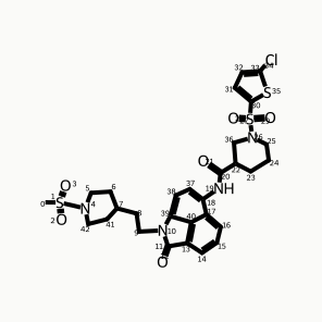 CS(=O)(=O)N1CCC(CCN2C(=O)c3cccc4c(NC(=O)C5CCCN(S(=O)(=O)c6ccc(Cl)s6)C5)ccc2c34)CC1